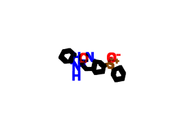 Nc1cc([S+]([O-])c2ccccc2)ccc1CC(=O)Nc1ccccc1